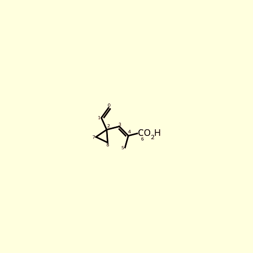 C=CC1(C=C(C)C(=O)O)CC1